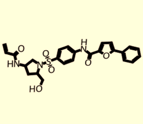 C=CC(=O)NC1CC(CO)N(S(=O)(=O)c2ccc(NC(=O)c3ccc(-c4ccccc4)o3)cc2)C1